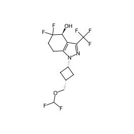 O[C@H]1c2c(C(F)(F)F)nn([C@H]3C[C@@H](COC(F)F)C3)c2CCC1(F)F